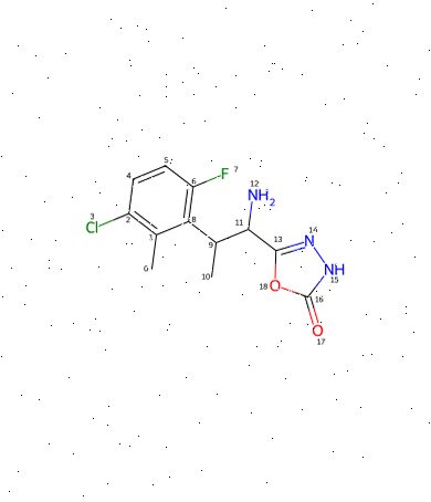 Cc1c(Cl)ccc(F)c1C(C)C(N)c1n[nH]c(=O)o1